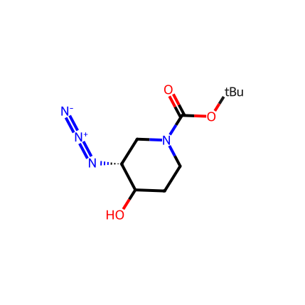 CC(C)(C)OC(=O)N1CCC(O)[C@H](N=[N+]=[N-])C1